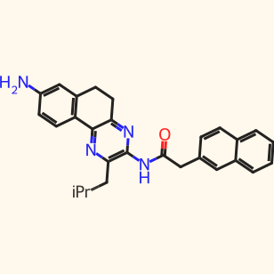 CC(C)Cc1nc2c(nc1NC(=O)Cc1ccc3ccccc3c1)CCc1cc(N)ccc1-2